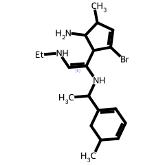 CCN/C=C(/NC(C)C1=CC=CC(C)C1)C1C(Br)=CC(C)C1N